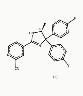 C[C@@H]1NC(c2ccnc(C#N)c2)=NC1(c1ccc(F)cc1)c1ccc(F)nc1.Cl